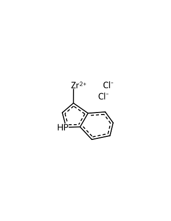 [Cl-].[Cl-].[Zr+2][c]1c[pH]c2ccccc12